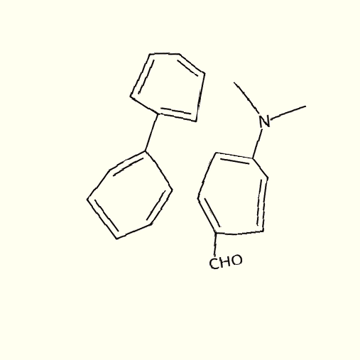 CN(C)c1ccc(C=O)cc1.c1ccc(-c2ccccc2)cc1